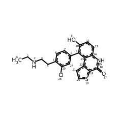 CCNCCc1ccc(-c2c(O)ccc3[nH]c(=O)c4sccc4c23)cc1Cl